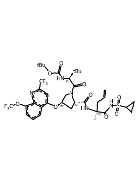 C=CC[C@](C)(NC(=O)[C@@H]1C[C@@H](Oc2cc(C(F)(F)F)nc3c(OC(F)(F)F)cccc23)CN1C(=O)[C@@H](NC(=O)OC(C)(C)C)C(C)(C)C)C(=O)NS(=O)(=O)C1CC1